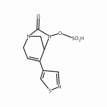 O=C1N2CC=C(c3cnsc3)C(C2)N1OS(=O)(=O)O